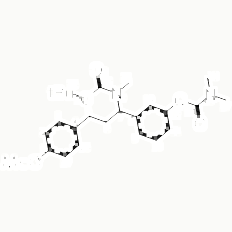 COc1ccc(CCC(c2cccc(OC(=O)N(C)C)c2)N(C)C(=O)OC(C)(C)C)cc1